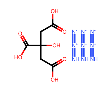 O=C(O)CC(O)(CC(=O)O)C(=O)O.[N-]=[N+]=N.[N-]=[N+]=N.[N-]=[N+]=N